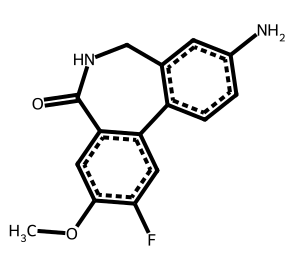 COc1cc2c(cc1F)-c1ccc(N)cc1CNC2=O